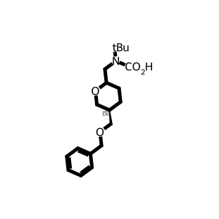 CC(C)(C)N(CC1CC[C@@H](COCc2ccccc2)CO1)C(=O)O